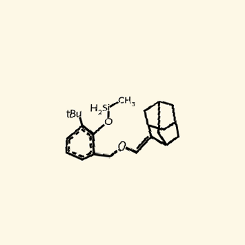 C[SiH2]Oc1c(COC=C2C3CC4CC(C3)CC2C4)cccc1C(C)(C)C